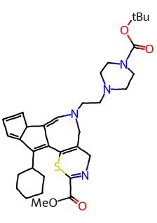 COC(=O)C1=NCC2=C(S1)C1=C(C3CCCCC3)C3=CC=CC3C1=CN(CCN1CCN(C(=O)OC(C)(C)C)CC1)C2